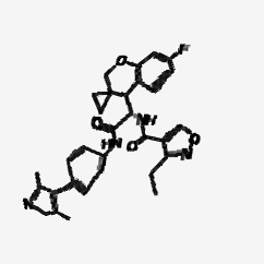 CCc1nocc1C(=O)N[C@H](C(=O)Nc1ccc(C2=C(C)CN=C2C)cc1)C1c2ccc(F)cc2OCC12CC2